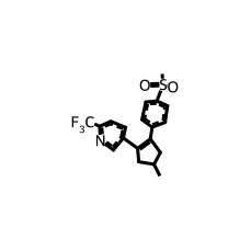 CC1CC(c2ccc(S(C)(=O)=O)cc2)=C(c2ccc(C(F)(F)F)nc2)C1